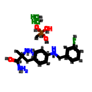 CC(N)(Cc1ccc(NCc2cccc(F)c2)cc1)C(N)=O.CS(=O)(=O)O.Cl.Cl